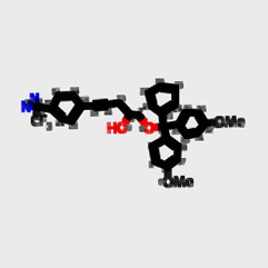 COc1ccc(C(OCC(O)CC#Cc2ccc(C3(C(F)(F)F)N=N3)cc2)(c2ccccc2)c2ccc(OC)cc2)cc1